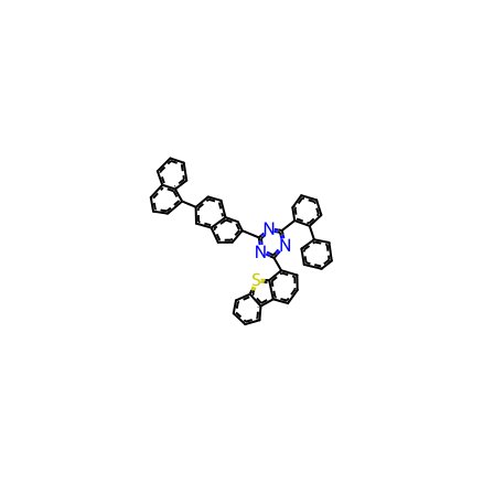 c1ccc(-c2ccccc2-c2nc(-c3ccc4cc(-c5cccc6ccccc56)ccc4c3)nc(-c3cccc4c3sc3ccccc34)n2)cc1